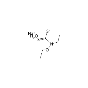 CCON(CC)C(=S)[S-].O.[Na+]